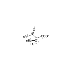 CCCC(=O)CC(=O)[O-].CCCC[O-].[Al+2]